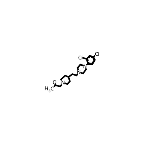 CC(=O)CN1CCC(CCN2CCN(c3ccc(Cl)cc3Cl)CC2)CC1